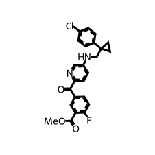 COC(=O)c1cc(C(=O)c2ccc(NCC3(c4ccc(Cl)cc4)CC3)cn2)ccc1F